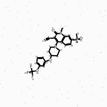 Cn1c(=O)c(C#N)c(N2CCC(Oc3cccc(OC(F)(F)F)c3)CC2)c2ccc(P(C)(C)=O)cc21